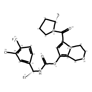 CC[C@@H](NC(=O)Oc1cc(C(=O)N2CCC[C@@H]2C)n2c1COCC2)c1ccc(C(F)(F)F)c(Cl)c1